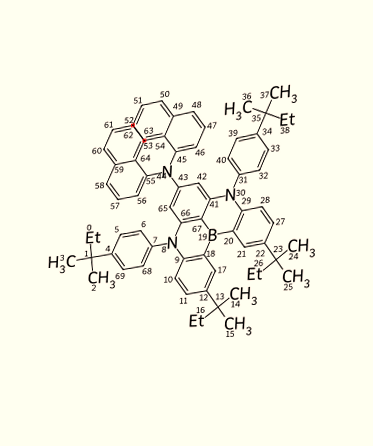 CCC(C)(C)c1ccc(N2c3ccc(C(C)(C)CC)cc3B3c4cc(C(C)(C)CC)ccc4N(c4ccc(C(C)(C)CC)cc4)c4cc(N(c5cccc6ccccc56)c5cccc6ccccc56)cc2c43)cc1